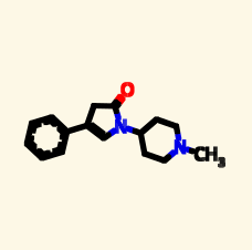 CN1CCC(N2C=C(c3ccccc3)CC2=O)CC1